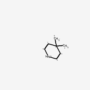 [CH2]C1(C)CCNCC1